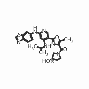 Cc1oc(-c2cnc(Nc3ccc4ncsc4c3)cc2NC(C)C)nc1C(=O)N1CC[C@@H](O)C1